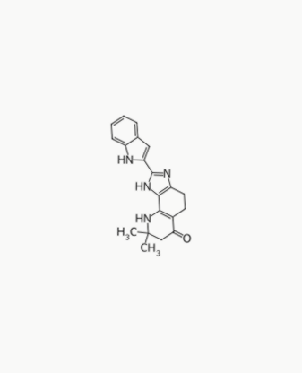 CC1(C)CC(=O)C2=C(N1)c1[nH]c(-c3cc4ccccc4[nH]3)nc1CC2